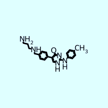 Cc1ccc(Nc2nc(=O)c(-c3ccc(CNCCCN)cc3)c[nH]2)cc1